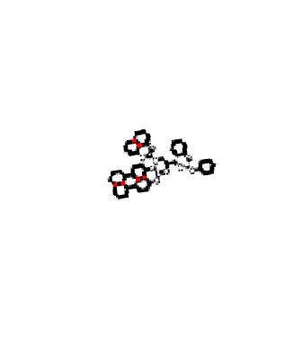 c1ccc(OB(OCC(COB(Oc2ccccc2)Oc2ccccc2)OB(Oc2ccc(C3CCCCC3)cc2)Oc2ccc(C3CCCCC3)cc2)Oc2ccccc2)cc1